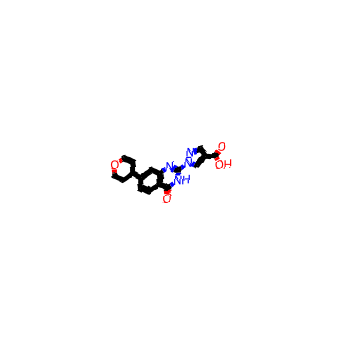 O=C(O)c1cnn(-c2nc3cc(C4CCOCC4)ccc3c(=O)[nH]2)c1